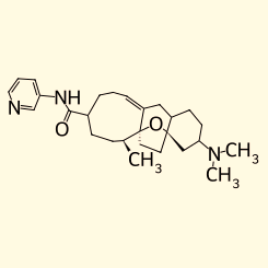 C[C@H]1CCC(C(=O)Nc2cccnc2)CC/C=C2/CC3CCC(N(C)C)C[C@]34CC[C@@]21O4